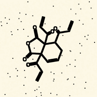 C=CC(=O)C1CC=CC2(C(=O)C=C)C(=O)OC(=O)C12C(=O)C=C